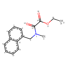 CCN(Cc1cccc2ccccc12)C(=O)C(=O)OCC(F)(F)F